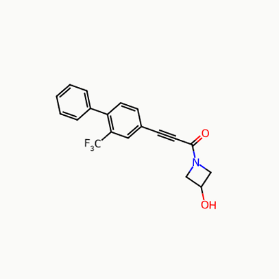 O=C(C#Cc1ccc(-c2ccccc2)c(C(F)(F)F)c1)N1CC(O)C1